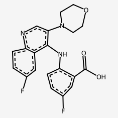 O=C(O)c1cc(F)ccc1Nc1c(N2CCOCC2)cnc2ccc(F)cc12